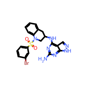 Nc1nc(NC2Cc3ccccc3N(S(=O)(=O)c3cccc(Br)c3)C2)c2cn[nH]c2n1